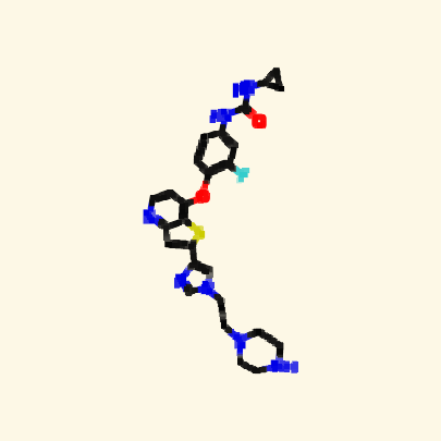 O=C(Nc1ccc(Oc2ccnc3cc(-c4cn(CCN5CCNCC5)cn4)sc23)c(F)c1)NC1CC1